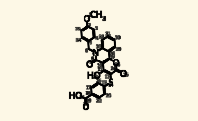 COc1ccc(Cn2c(=O)c3c(O)c(Sc4ccc(C(=O)O)cc4)c(=O)oc3c3ccccc32)cc1